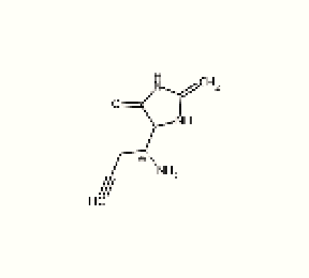 C#CC[C@@H](N)C1NC(=C)NC1=O